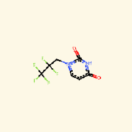 O=c1ccn(CC(F)(F)C(F)(F)F)c(=O)[nH]1